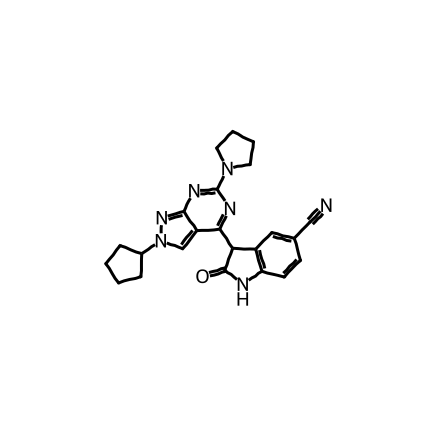 N#Cc1ccc2c(c1)C(c1nc(N3CCCC3)nc3nn(C4CCCC4)cc13)C(=O)N2